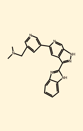 CN(C)Cc1cncc(-c2cc3c(-c4nc5ccccc5[nH]4)n[nH]c3cn2)c1